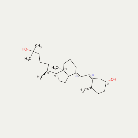 C=C1CC[C@@H](O)C/C1=C/C=C1\CCC[C@@]2(C)C1CC[C@@H]2[C@@H](C)CCCC(C)(C)O